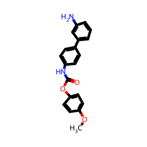 COc1ccc(OC(=O)Nc2ccc(-c3cccc(N)c3)cc2)cc1